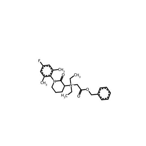 CC[N+](CC)(CC(=O)OCc1ccccc1)C1CCCN(c2c(C)cc(F)cc2C)C1=O